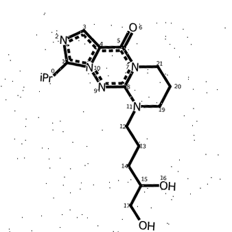 CC(C)c1ncc2c(=O)n3c(nn12)N(CCCC(O)CO)CCC3